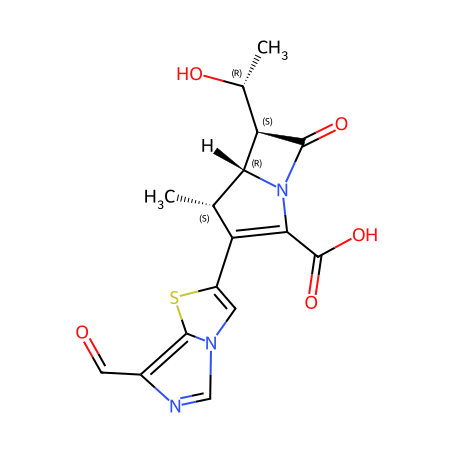 C[C@@H](O)[C@H]1C(=O)N2C(C(=O)O)=C(c3cn4cnc(C=O)c4s3)[C@H](C)[C@H]12